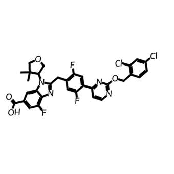 CC1(C)COCC1n1c(Cc2cc(F)c(-c3ccnc(OCc4ccc(Cl)cc4Cl)n3)cc2F)nc2c(F)cc(C(=O)O)cc21